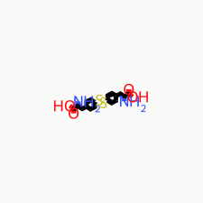 NC(CC1C=CC(SSC2=CCC(CC(N)C(=O)O)C=C2)=CC1)C(=O)O